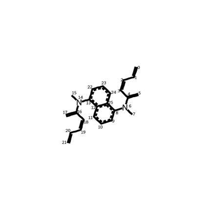 C=C/C=C\C(=C)N(C)c1cccc2c(N(C)C(=C)/C=C\C=C)cccc12